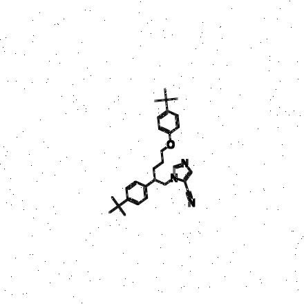 CC(C)(C)c1ccc(OCCCC(Cn2cncc2C#N)c2ccc(C(C)(C)C)cc2)cc1